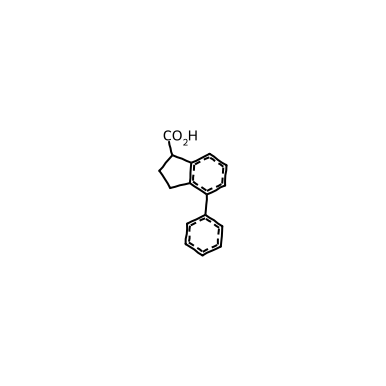 O=C(O)C1CCc2c(-c3ccccc3)cccc21